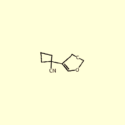 N#CC1(C2=COCCC2)CCC1